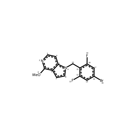 COc1nccc2c1ccn2Cc1c(F)cc(Br)cc1F